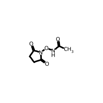 CC(=O)NON1C(=O)CCC1=O